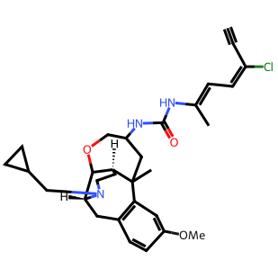 C#C/C(Cl)=C\C=C(/C)NC(=O)NC1COC2[C@H]3Cc4ccc(OC)cc4C(C)(C1)[C@H]2CCN3CC1CC1